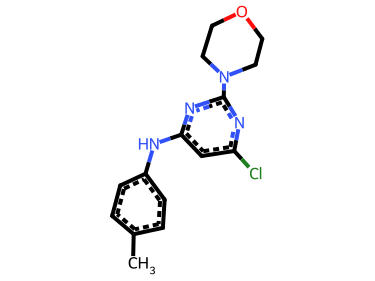 Cc1ccc(Nc2cc(Cl)nc(N3CCOCC3)n2)cc1